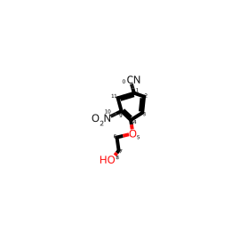 N#Cc1ccc(OCCO)c([N+](=O)[O-])c1